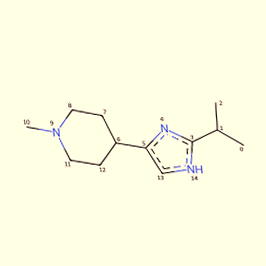 CC(C)c1nc(C2CCN(C)CC2)c[nH]1